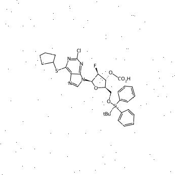 CC(C)(C)[Si](OC[C@H]1O[C@@H](n2cnc3c(SC4CCCC4)nc(Cl)nc32)[C@@H](F)[C@@H]1OC(=O)O)(c1ccccc1)c1ccccc1